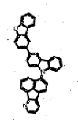 c1cnc2c(c1)-c1ccc(-n3c4ccccc4c4cc(-c5ccc6oc7ccccc7c6c5)ccc43)c3cccc-2c13